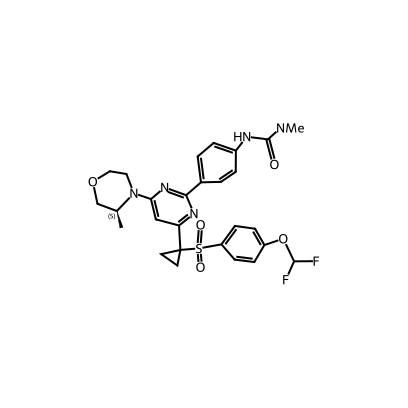 CNC(=O)Nc1ccc(-c2nc(N3CCOC[C@@H]3C)cc(C3(S(=O)(=O)c4ccc(OC(F)F)cc4)CC3)n2)cc1